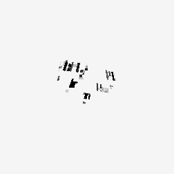 [Ir].[PbH2].[Pt].[Ru].[Ti]